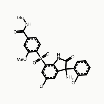 COc1cc(C(=O)NC(C)(C)C)ccc1S(=O)(=O)c1cc(Cl)cc2c1NC(=O)C2(N)c1ccccc1Cl